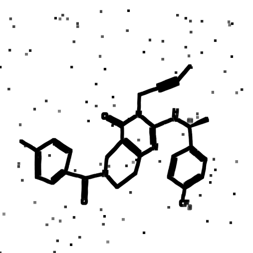 CC#CCn1c(N[C@@H](C)c2ccc(C(F)(F)F)cc2)nc2c(c1=O)CN(C(=O)c1ccc(C)cc1)CC2